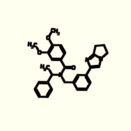 COc1ccc(C(=O)N(Cc2cccc(-c3cn4c(n3)CCC4)c2)C(C)c2ccccc2)cc1OC